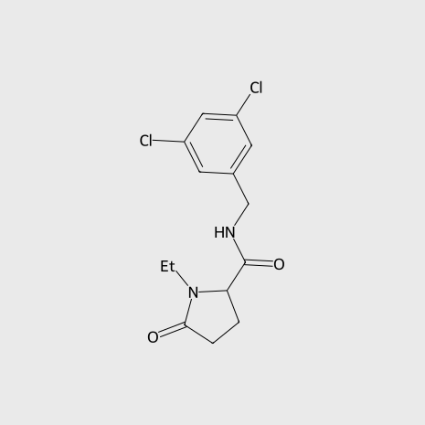 CCN1C(=O)CCC1C(=O)NCc1cc(Cl)cc(Cl)c1